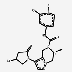 C[C@H]1Cn2ncc(N3CC(C#N)CC3=O)c2CN1C(=O)Nc1ccc(F)c(Cl)c1